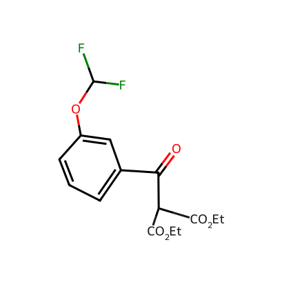 CCOC(=O)C(C(=O)OCC)C(=O)c1cccc(OC(F)F)c1